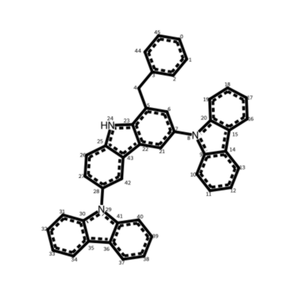 c1ccc(Cc2cc(-n3c4ccccc4c4ccccc43)cc3c2[nH]c2ccc(-n4c5ccccc5c5ccccc54)cc23)cc1